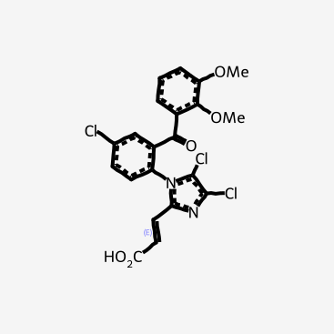 COc1cccc(C(=O)c2cc(Cl)ccc2-n2c(/C=C/C(=O)O)nc(Cl)c2Cl)c1OC